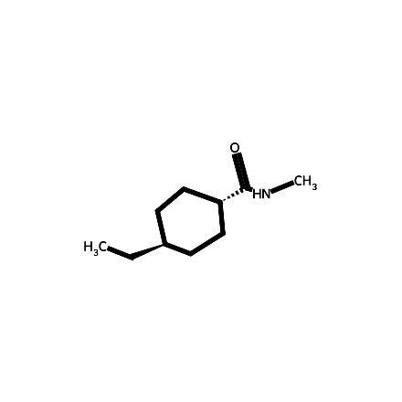 CC[C@H]1CC[C@H](C(=O)NC)CC1